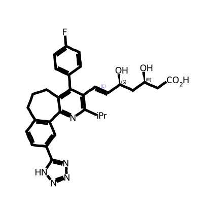 CC(C)c1nc2c(c(-c3ccc(F)cc3)c1/C=C/[C@@H](O)C[C@@H](O)CC(=O)O)CCCc1ccc(-c3nnn[nH]3)cc1-2